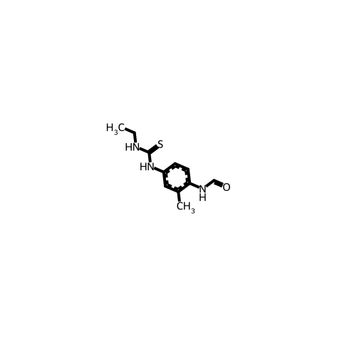 CCNC(=S)Nc1ccc(NC=O)c(C)c1